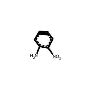 Nc1cc#ccc1[N+](=O)[O-]